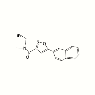 CC(C)CN(C)C(=O)c1cc(-c2ccc3ccccc3c2)on1